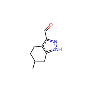 CC1CCc2c(C=O)n[nH]c2C1